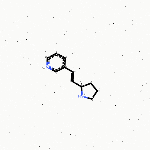 C(=CC1CCCN1)c1cccnc1